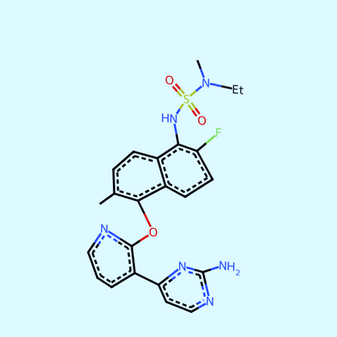 CCN(C)S(=O)(=O)Nc1c(F)ccc2c(Oc3ncccc3-c3ccnc(N)n3)c(C)ccc12